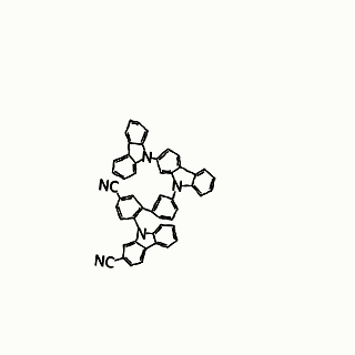 N#Cc1ccc(-n2c3ccccc3c3ccc(C#N)cc32)c(-c2cccc(-n3c4ccccc4c4ccc(-n5c6ccccc6c6ccccc65)cc43)c2)c1